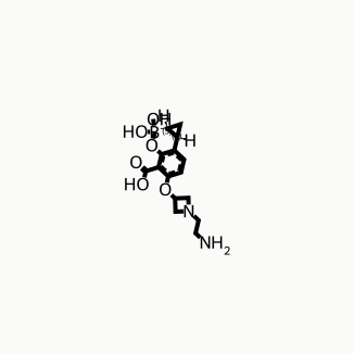 NCCN1CC(Oc2ccc3c(c2C(=O)O)O[B-](O)(O)[C@H]2C[C@@H]32)C1